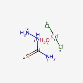 NNC(N)=S.O.[Cl][Cd][Cl]